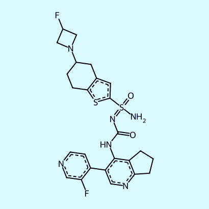 NS(=O)(=NC(=O)Nc1c(-c2ccncc2F)cnc2c1CCC2)c1cc2c(s1)CCC(N1CC(F)C1)C2